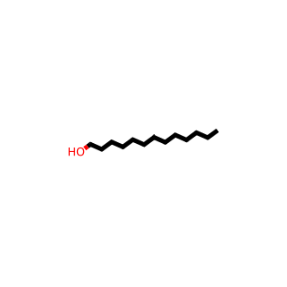 CCCCCC[CH]CCCCCCO